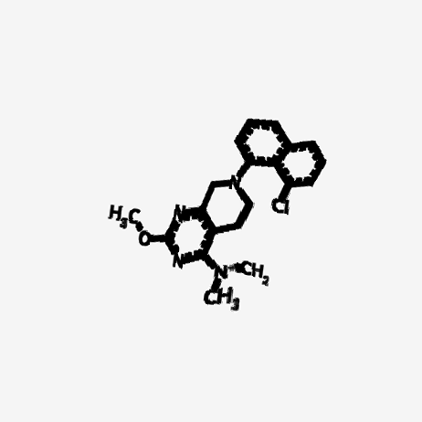 C=[N+](C)c1nc(OC)nc2c1CCN(c1cccc3cccc(Cl)c13)C2